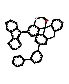 c1ccc(-c2cccc(-c3ccc4c(c3)Oc3ccccc3C43c4ccccc4Oc4cc(-n5c6ccccc6c6ccncc65)ccc43)c2)cc1